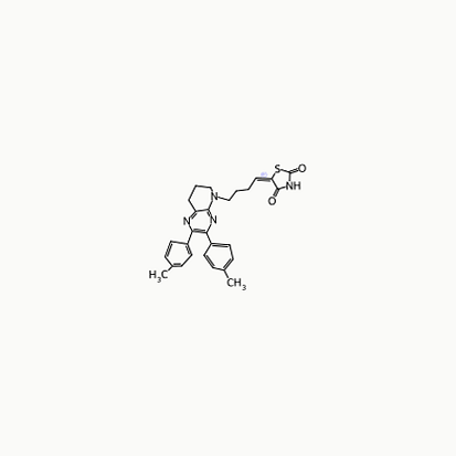 Cc1ccc(-c2nc3c(nc2-c2ccc(C)cc2)N(CCC/C=C2/SC(=O)NC2=O)CCC3)cc1